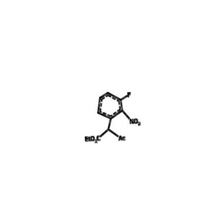 CCOC(=O)C(C(C)=O)c1cccc(F)c1[N+](=O)[O-]